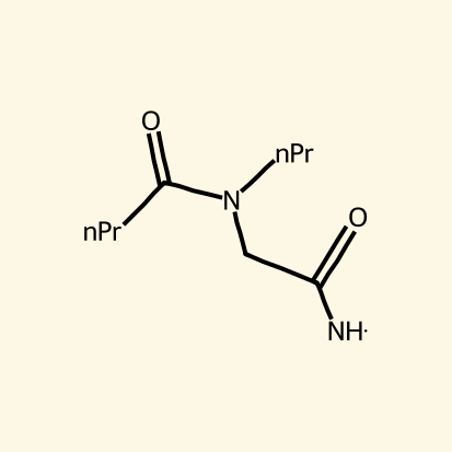 CCCC(=O)N(CCC)CC([NH])=O